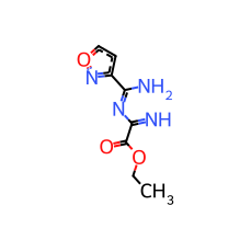 CCOC(=O)C(=N)/N=C(\N)c1ccon1